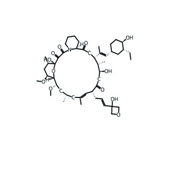 CC[C@@H]1C[C@H](/C=C(\C)[C@H]2CC(=O)[C@@H]3CCCCN3C(=O)C(=O)[C@]3(O)O[C@H]([C@@H](OC)C[C@@H](C)C/C(C)=C/[C@@H](C/C=C/C4(O)COC4)C(=O)C[C@H](O)[C@H]2C)[C@@H](OC)C[C@H]3C)CC[C@H]1O